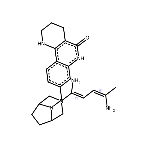 C/C(N)=C/C=C(\N)N1CC2CCC(C1)N2Cc1ccc2c3c(c(=O)[nH]c2c1)CCCN3